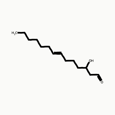 CCCCCCC=CCCCC(O)CC=O